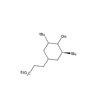 CCOC(=O)CCC1CC(C(C)(C)C)C(O)[C@@H](C(C)(C)C)C1